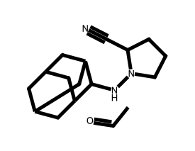 CC=O.N#CC1CCCN1NC1C2CC3CC(C2)CC1C3